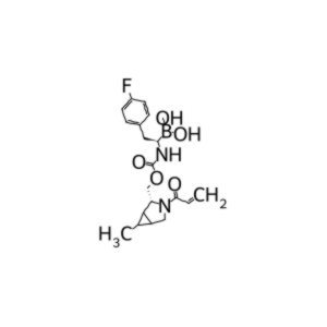 C=CC(=O)N1CC2C(C)C2[C@@H]1COC(=O)N[C@@H](Cc1ccc(F)cc1)B(O)O